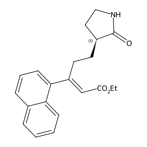 CCOC(=O)C=C(CC[C@H]1CCNC1=O)c1cccc2ccccc12